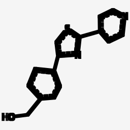 OCc1ccc(-c2csc(-c3ccncc3)n2)cc1